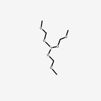 COC[O][Y]([O]COC)[O]COC